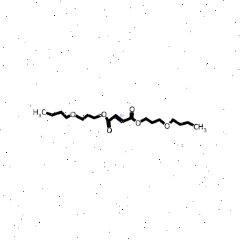 CCCCOCCCOC(=O)/C=C/C(=O)OCCCOCCCC